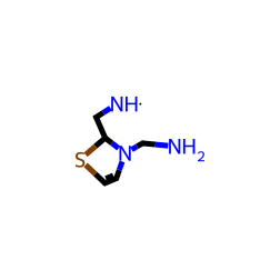 [NH]CC1SC=CN1CN